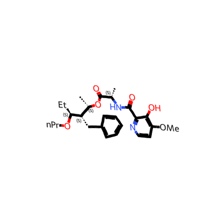 CCCO[C@@H](CC)[C@@H](Cc1ccccc1)[C@H](C)OC(=O)[C@H](C)NC(=O)c1nccc(OC)c1O